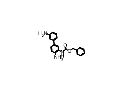 Nc1cccc(-c2ccc(N)c(NC(=O)OCc3ccccc3)c2)c1